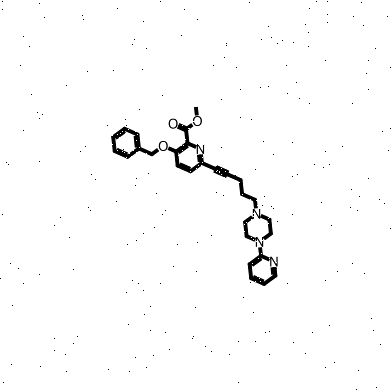 COC(=O)c1nc(C#CCCCN2CCN(c3ccccn3)CC2)ccc1OCc1ccccc1